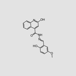 COc1ccc(O)c(/C=N/NC(=O)c2cc(O)nc3ccccc23)c1